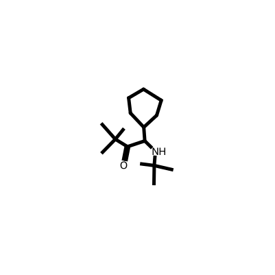 CC(C)(C)NC(C(=O)C(C)(C)C)C1CCCCC1